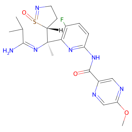 COc1cnc(C(=O)Nc2ccc(F)c([C@@]3(C)N=C(N)C(C)(C)[S@@]4(=O)=NCC[C@H]34)n2)cn1